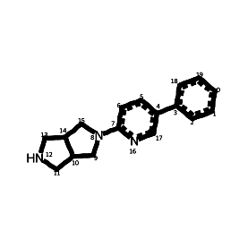 c1ccc(-c2ccc(N3CC4CNCC4C3)nc2)cc1